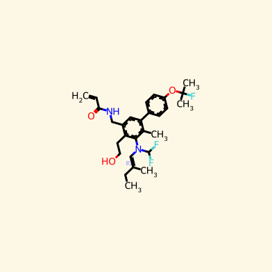 C=CC(=O)NCc1cc(-c2ccc(OC(C)(C)F)cc2)c(C)c(N(/C=C(\C)CC)C(F)F)c1CCO